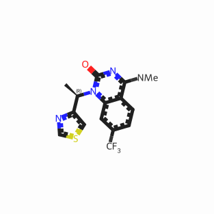 CNc1nc(=O)n([C@H](C)c2cscn2)c2cc(C(F)(F)F)ccc12